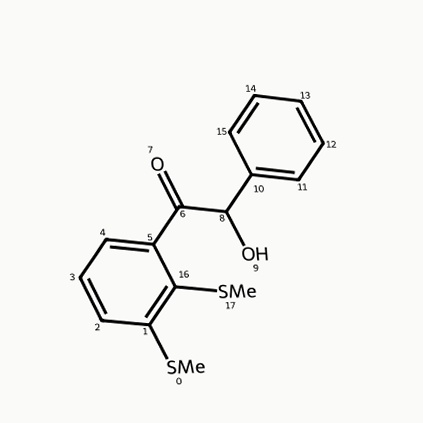 CSc1cccc(C(=O)C(O)c2ccccc2)c1SC